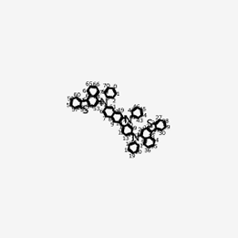 c1ccc(N(c2ccc3cc4c5ccc(N(c6ccccc6)c6cc7sc8ccccc8c7c7ccccc67)cc5n(-c5ccccc5)c4cc3c2)c2cc3sc4ccccc4c3c3ccccc23)cc1